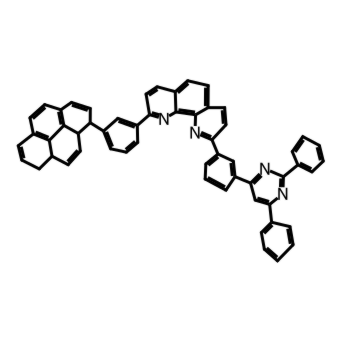 C1=Cc2ccc3c4c2C(C=CC4C(c2cccc(-c4ccc5ccc6ccc(-c7cccc(-c8cc(-c9ccccc9)nc(-c9ccccc9)n8)c7)nc6c5n4)c2)C=C3)C1